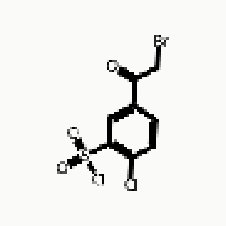 O=C(CBr)c1ccc(Cl)c(S(=O)(=O)Cl)c1